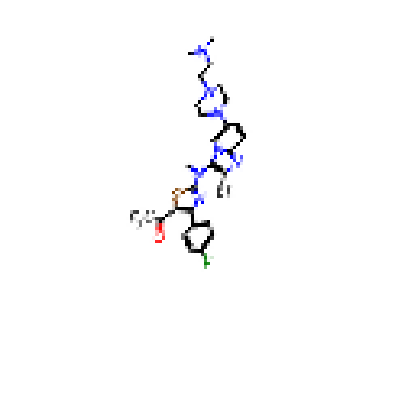 CCc1nc2ccc(N3CCN(CCN(C)C)CC3)cn2c1N(C)c1nc(-c2ccc(F)cc2)c(C(=O)C(F)(F)F)s1